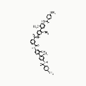 Cc1cc(NC(=O)C2=CC=C(N)CC2)ccc1-c1ccc(NC(=O)c2cccc(C(=O)Nc3ccc(-c4ccc(NC(=O)C5=CC=C(N)CC5)cc4C)c(C)c3)c2)cc1C